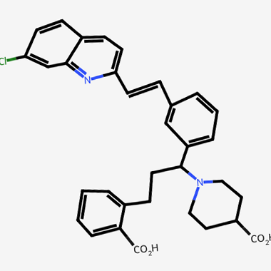 O=C(O)c1ccccc1CCC(c1cccc(/C=C/c2ccc3ccc(Cl)cc3n2)c1)N1CCC(C(=O)O)CC1